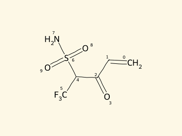 C=CC(=O)C(C(F)(F)F)S(N)(=O)=O